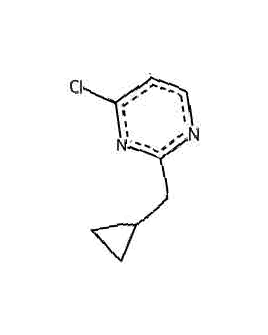 Clc1[c]cnc(CC2CC2)n1